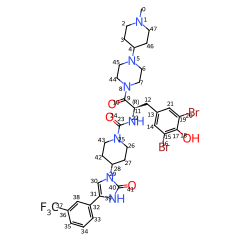 CN1CCC(N2CCN(C(=O)[C@@H](Cc3cc(Br)c(O)c(Br)c3)NC(=O)N3CCC(n4cc(-c5cccc(C(F)(F)F)c5)[nH]c4=O)CC3)CC2)CC1